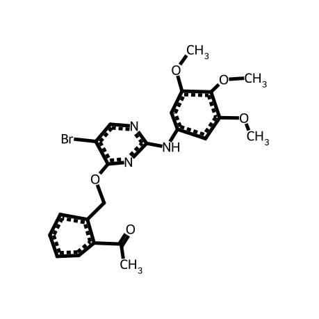 COc1cc(Nc2ncc(Br)c(OCc3ccccc3C(C)=O)n2)cc(OC)c1OC